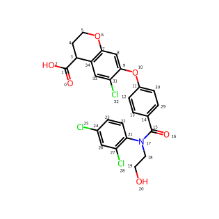 O=C(O)C1CCOc2cc(Oc3ccc(C(=O)N(CCO)c4ccc(Cl)cc4Cl)cc3)c(Cl)cc21